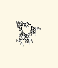 COc1cc2cc(c1Cl)N(C)C(=O)C[C@H](OC(=O)[C@H](C)N(C)C(=O)CCC(C)(C)S)[C@]1(C)O[C@H]1CC1C[C@@](O)(NC(=O)O1)[C@H](OC)/C=C/C=C(\C)C2